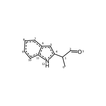 CC(C=O)c1cc2ccccc2[nH]1